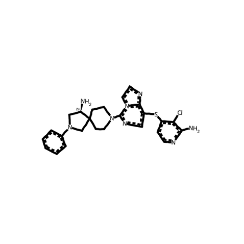 Nc1nccc(Sc2cnc(N3CCC4(CC3)CN(c3ccccc3)C[C@H]4N)n3ccnc23)c1Cl